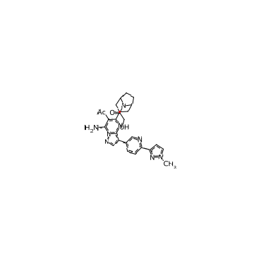 CC(=O)c1c(C2CC3CCC(C2)N3C(=O)CO)nc2c(-c3ccc(-c4ccn(C)n4)nc3)cnn2c1N